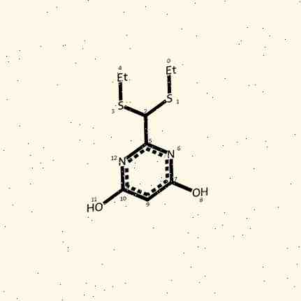 CCSC(SCC)c1nc(O)cc(O)n1